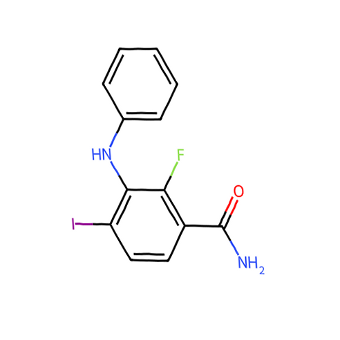 NC(=O)c1ccc(I)c(Nc2ccccc2)c1F